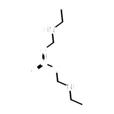 CCNCO[PH](=O)OCNCC